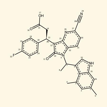 Cc1cc(C)c2c(C(C)n3c(=O)n([C@H](CC(=O)O)c4ccc(F)cc4)c4nc(C#N)ccc43)c[nH]c2c1